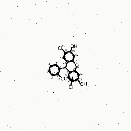 O=C(O)c1ccccc1C1c2cc(Cl)c(O)cc2Oc2cc(O)c(Cl)cc21